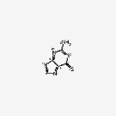 NC1=NC(=S)C2=NC=NC2=N1